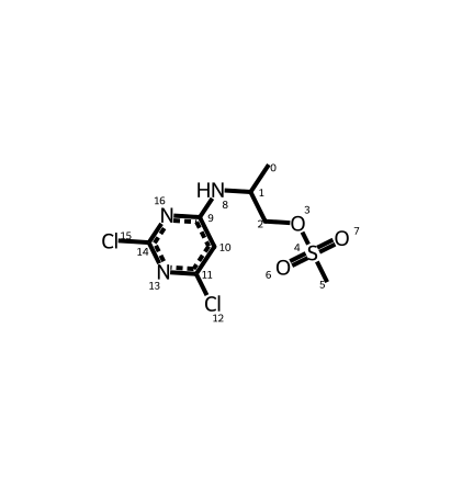 CC(COS(C)(=O)=O)Nc1cc(Cl)nc(Cl)n1